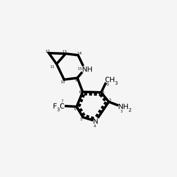 Cc1c(N)ncc(C(F)(F)F)c1C1CC2CC2CN1